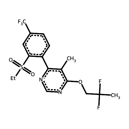 CCS(=O)(=O)c1cc(C(F)(F)F)ccc1-c1ncnc(OCC(C)(F)F)c1C